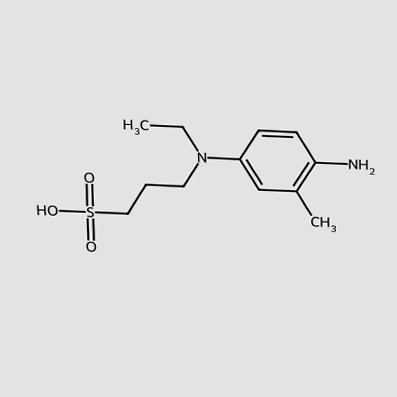 CCN(CCCS(=O)(=O)O)c1ccc(N)c(C)c1